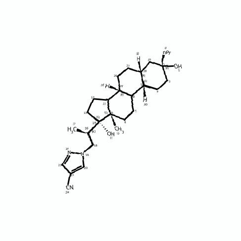 CCC[C@@]1(O)CC[C@@H]2C3CC[C@@]4(C)C(CC[C@]4(O)[C@H](C)Cn4cc(C#N)cn4)[C@@H]3CC[C@@H]2C1